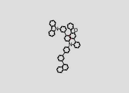 c1cc(-c2ccc(N(c3ccc(-c4cccc(-n5c6ccccc6c6ccccc65)c4)cc3)c3ccccc3-c3ccc4c(c3)oc3ccccc34)cc2)cc(-c2cccc3ccccc23)c1